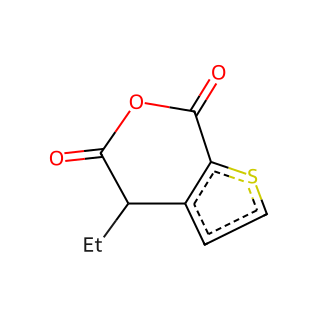 CCC1C(=O)OC(=O)c2sccc21